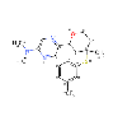 CN(C)c1cnc(C2CC(C)(Sc3cccc(C(F)(F)F)c3)CCO2)cn1